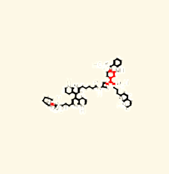 O=C(O)CN1C2CCC1CN(C(=O)NCCCc1cc(-c3cc(CCCCC(=O)NC4CN(C(CCC(=O)Nc5ccccc5C(C(=O)O)N5CCC(C(=O)NCCCc6ccc7c(n6)NCCC7)CC5)C(=O)O)C4)nc4c3CCCN4)c3c(n1)NCCC3)C2